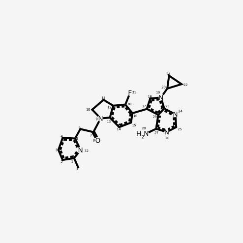 Cc1cccc(CC(=O)N2CCc3c2ccc(-c2cn(C4CC4)c4ncnc(N)c24)c3F)n1